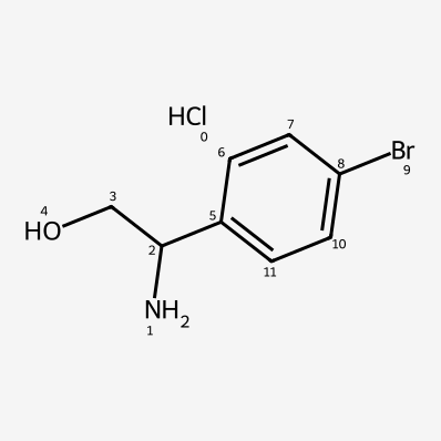 Cl.NC(CO)c1ccc(Br)cc1